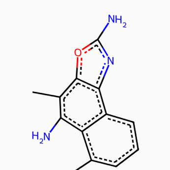 Cc1c(N)c2c(C)cccc2c2nc(N)oc12